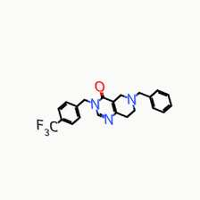 O=c1c2c(ncn1Cc1ccc(C(F)(F)F)cc1)CCN(Cc1ccccc1)C2